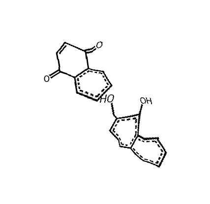 O=C1C=CC(=O)c2ccccc21.Oc1ccc2ccccc2c1O